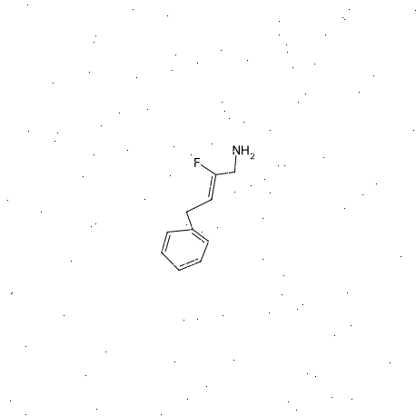 NC/C(F)=C/Cc1ccccc1